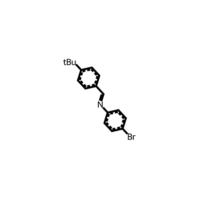 CC(C)(C)c1ccc(/C=N/c2ccc(Br)cc2)cc1